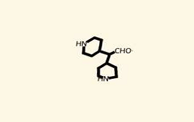 O=[C]C(C1CCNCC1)C1CCNCC1